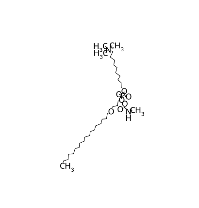 CCCCCCCCCCCCCCCCCCOCC(COP(=O)([O-])OCCCCCCCCCC[N+](C)(C)C)OC(=O)NC